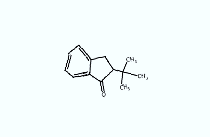 CC(C)(C)C1Cc2ccccc2C1=O